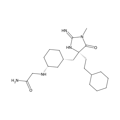 CN1C(=N)N[C@](CCC2CCCCC2)(C[C@H]2CCC[C@@H](NCC(N)=O)C2)C1=O